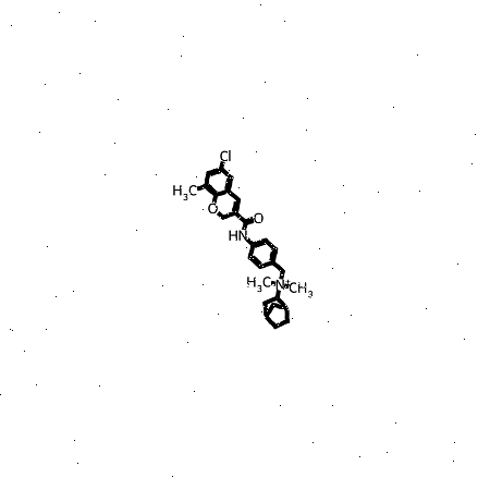 Cc1cc(Cl)cc2c1OCC(C(=O)Nc1ccc(C[N+](C)(C)C3CC4CCC3C4)cc1)=C2